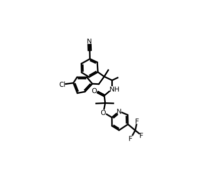 CC(NC(=O)C(C)(C)Oc1ccc(C(F)(F)F)cn1)C(C)(Cc1ccc(Cl)cc1)c1cccc(C#N)c1